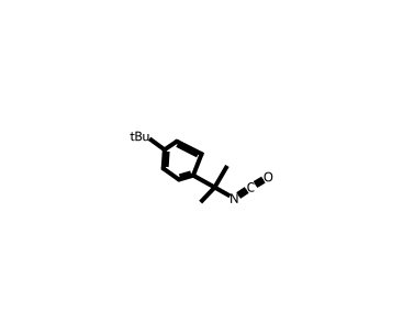 CC(C)(C)c1ccc(C(C)(C)N=C=O)cc1